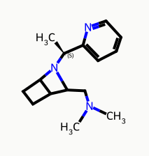 C[C@@H](c1ccccn1)N1C2CCC2C1CN(C)C